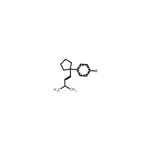 CC(C)/C=C/C1(c2ccc(F)cc2)CCCC1